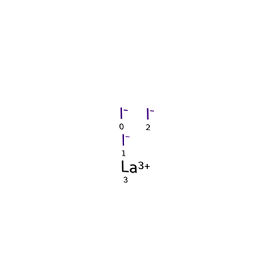 [I-].[I-].[I-].[La+3]